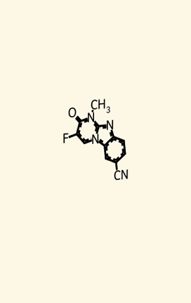 Cn1c(=O)c(F)cn2c3cc(C#N)ccc3nc12